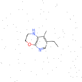 CCc1cnc2c(c1C)NCCO2